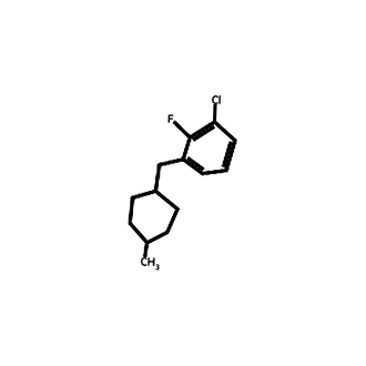 CC1CCC(Cc2cccc(Cl)c2F)CC1